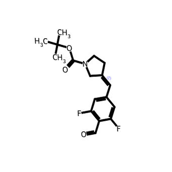 CC(C)(C)OC(=O)N1CC/C(=C/c2cc(F)c(C=O)c(F)c2)C1